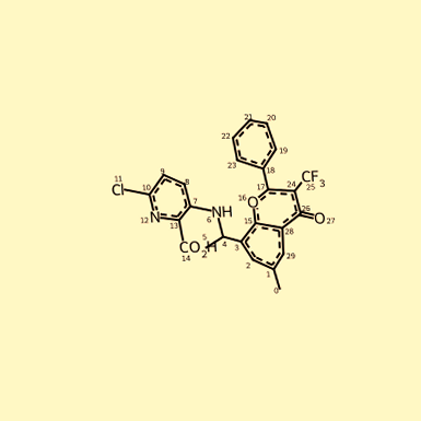 Cc1cc(C(C)Nc2ccc(Cl)nc2C(=O)O)c2oc(-c3ccccc3)c(C(F)(F)F)c(=O)c2c1